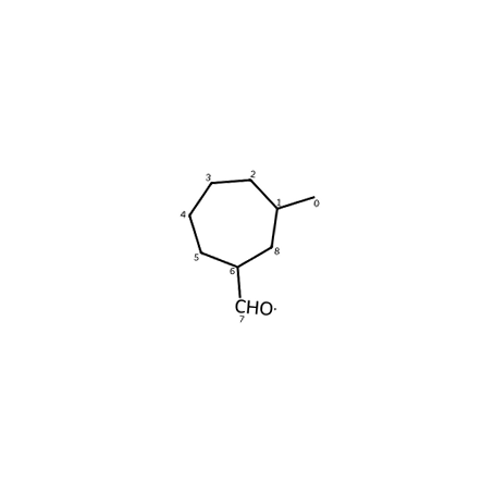 CC1CCCCC([C]=O)C1